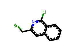 Clc1nc(CBr)cc2ccccc12